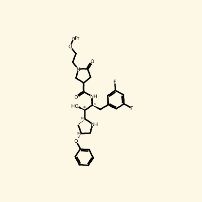 CCCOCCN1CC(C(=O)N[C@@H](Cc2cc(F)cc(F)c2)[C@H](O)[C@H]2C[C@@H](Oc3ccccc3)CN2)CC1=O